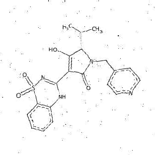 CC(C)[C@H]1C(O)=C(C2=NS(=O)(=O)c3ccccc3N2)C(=O)N1Cc1ccncc1